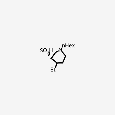 CCCCCCN1CCC(CC)CC1.CS(=O)(=O)O